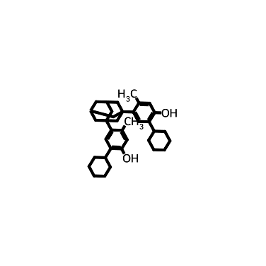 Cc1cc(O)c(C2CCCCC2)cc1C12CC3CC(C1)CC(c1cc(C4CCCCC4)c(O)cc1C)(C3)C2